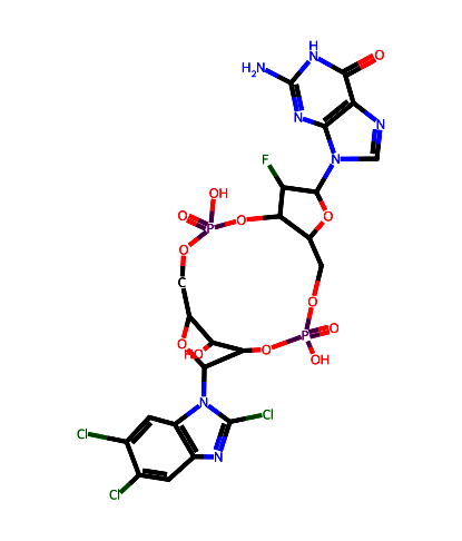 Nc1nc2c(ncn2C2OC3COP(=O)(O)OC4C(O)C(COP(=O)(O)OC3C2F)OC4n2c(Cl)nc3cc(Cl)c(Cl)cc32)c(=O)[nH]1